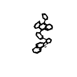 c1ccc(-c2c3ccccc3c(-c3cccc(-c4cccc5sc6c7ccccc7ccc6c45)c3)c3ccccc23)cc1